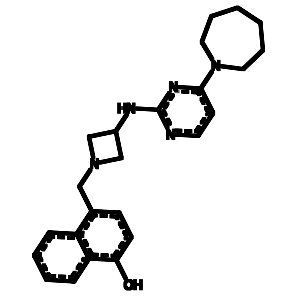 Oc1ccc(CN2CC(Nc3nccc(N4CCCCCC4)n3)C2)c2ccccc12